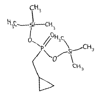 C[Si](C)(C)OP(=O)(CC1CC1)O[Si](C)(C)C